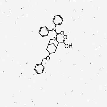 O=C(O)[C@@H]1C2CC(CC(OCc3ccccc3)C2)CN1C(=O)N(c1ccccc1)c1ccccc1